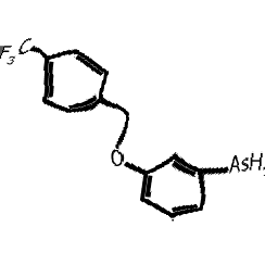 FC(F)(F)c1ccc(COc2c[c]cc([AsH2])c2)cc1